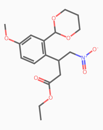 CCOC(=O)CC(C[N+](=O)[O-])c1ccc(OC)cc1C1OCCCO1